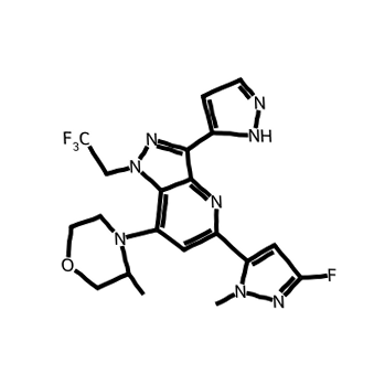 CC1COCCN1c1cc(-c2cc(F)nn2C)nc2c(-c3ccn[nH]3)nn(CC(F)(F)F)c12